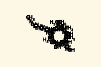 CCCCCOc1ccc(-c2ccc(-c3ccc(C(=O)NC4C[C@@H](O)C(OCC[N+](C)(C)C)NC(=O)C5[C@@H](O)[C@@H](C)CN5C(=O)C([C@@H](C)O)NC(=O)C([C@H](O)[C@@H](O)c5ccc(O)cc5)NC(=O)C5C[C@@H](O)CN5C(=O)C(C(C)C)NC4=O)cc3)cc2)cc1